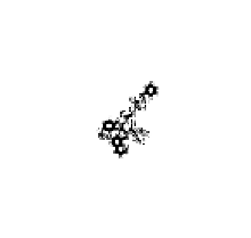 CCOC(OCC)[C@H](C)N(Cc1cccc2cccnc12)C(=O)[C@H](Cc1ccc(OC(C)(C)C)cc1)NC(=O)CONC(=O)NCc1ccccc1